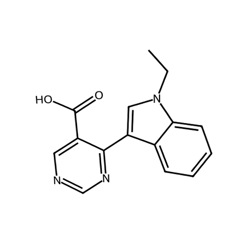 CCn1cc(-c2ncncc2C(=O)O)c2ccccc21